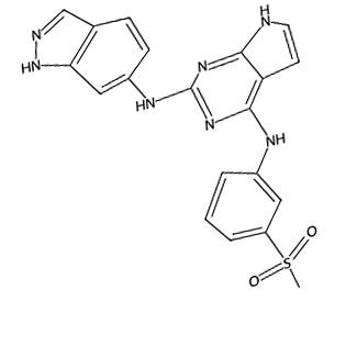 CS(=O)(=O)c1cccc(Nc2nc(Nc3ccc4cn[nH]c4c3)nc3[nH]ccc23)c1